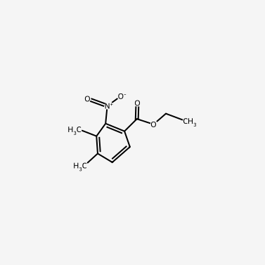 CCOC(=O)c1ccc(C)c(C)c1[N+](=O)[O-]